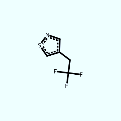 FC(F)(F)Cc1cnsc1